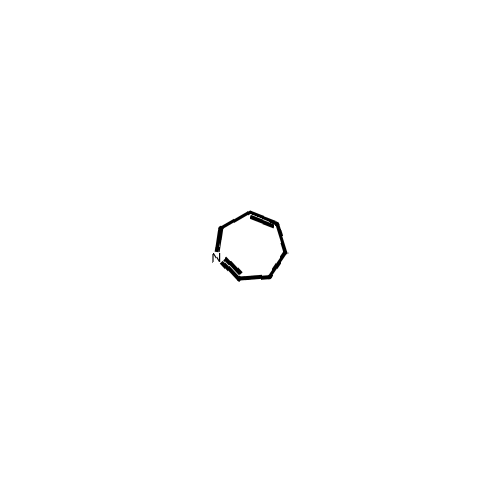 [CH]1C=CCN=CC1